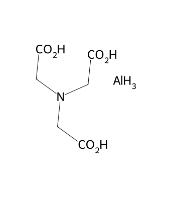 O=C(O)CN(CC(=O)O)CC(=O)O.[AlH3]